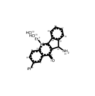 CCn1c2c(c(=O)c3cc(C(C)C)ccc31)C(N)c1ccccc1-2.Cl.Cl